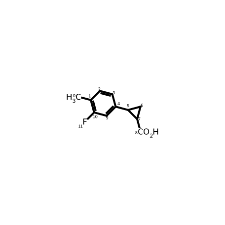 Cc1ccc(C2CC2C(=O)O)cc1F